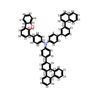 c1cc(-c2ccc(N(c3ccc(-c4ccc5c6ccccc6c6ccccc6c5c4)cc3)c3ccc(-c4cccc5c4oc4ccccc45)cc3)cc2)cc(-c2cccc3ccccc23)c1